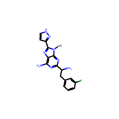 CCCn1c(-c2cc[nH]n2)nc2c(N)nc(C(N)Cc3cccc(F)c3)nc21